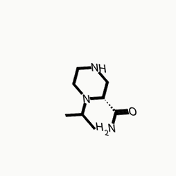 CC(C)N1CCNC[C@@H]1C(N)=O